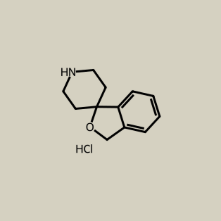 Cl.c1ccc2c(c1)COC21CCNCC1